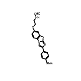 CNc1ccc(-c2cn3c(n2)sc2cc(OCCNC=O)ccc23)cc1